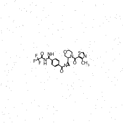 Cc1ncsc1C(=O)N1CCOCC1C1=CN1C(=O)c1ccc(C(=N)NC(=O)C(F)(F)F)cc1